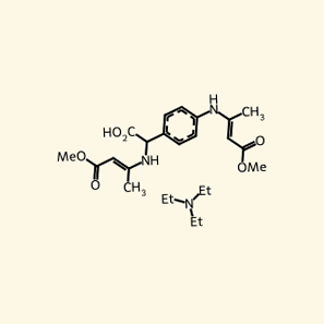 CCN(CC)CC.COC(=O)C=C(C)Nc1ccc(C(NC(C)=CC(=O)OC)C(=O)O)cc1